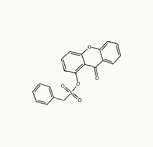 O=c1c2ccccc2oc2cccc(OS(=O)(=O)Cc3ccccc3)c12